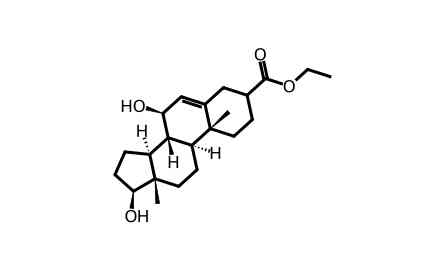 CCOC(=O)C1CC[C@@]2(C)C(=C[C@H](O)[C@H]3[C@@H]4CC[C@H](O)[C@@]4(C)CC[C@@H]32)C1